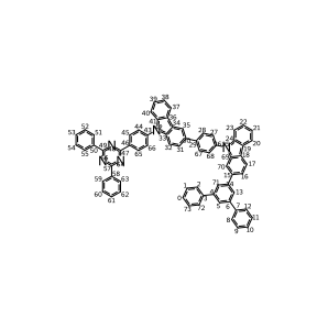 c1ccc(-c2cc(-c3ccccc3)cc(-c3ccc4c5ccccc5n(-c5ccc(-c6ccc7c(c6)c6ccccc6n7-c6ccc(-c7nc(-c8ccccc8)nc(-c8ccccc8)n7)cc6)cc5)c4c3)c2)cc1